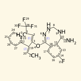 C=C(/C=C(O/C1=N/NCNC(N)c2cc(F)ccc21)\C(=C/C)c1ccccc1)C(F)(F)F